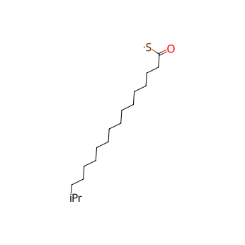 CC(C)CCCCCCCCCCCCCCC(=O)[S]